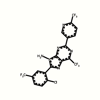 Nn1c(-c2cc(C(F)(F)F)ccc2Cl)nc2c(C(F)(F)F)nc(-c3ccc(C(F)(F)F)nc3)nc21